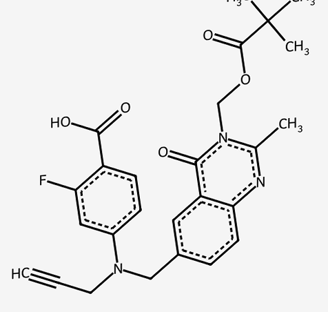 C#CCN(Cc1ccc2nc(C)n(COC(=O)C(C)(C)C)c(=O)c2c1)c1ccc(C(=O)O)c(F)c1